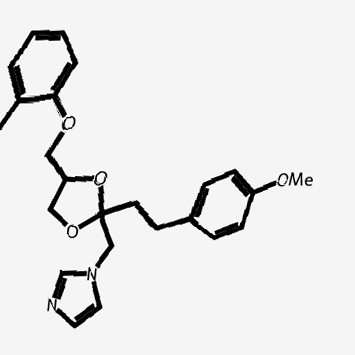 COc1ccc(CCC2(Cn3ccnc3)OCC(COc3ccccc3C)O2)cc1